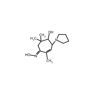 CC1=CC(N2CCCC2)C(O)C(C)(C)C/C1=N\O